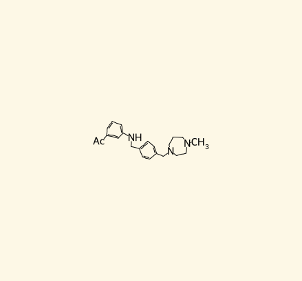 CC(=O)c1cccc(NCc2ccc(CN3CCCN(C)CC3)cc2)c1